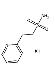 NS(=O)(=O)CCc1ccccn1.[KH]